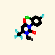 Cn1c(C(F)(F)F)cc(=O)n(-c2ccc(F)cc2Cl)c1=O